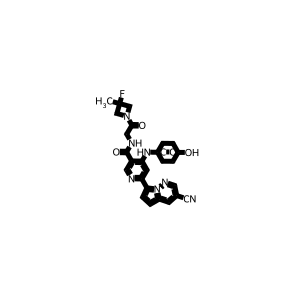 CC1(F)CN(C(=O)CNC(=O)c2cnc(-c3ccc4cc(C#N)cnn34)cc2NC23CCC(O)(CC2)CC3)C1